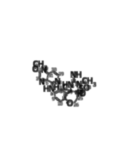 COc1cnc2c(Nc3ccc4c(c3)[C@@]3(C)NC(=N)N(C)S(=O)(=O)[C@H]3CCO4)nccc2n1